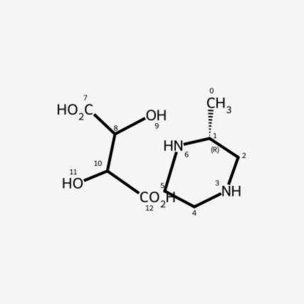 C[C@@H]1CNCCN1.O=C(O)C(O)C(O)C(=O)O